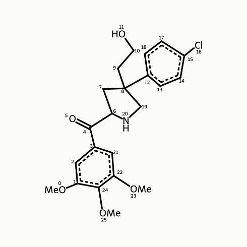 COc1cc(C(=O)C2CC(CCO)(c3ccc(Cl)cc3)CN2)cc(OC)c1OC